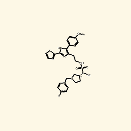 CCN([C@@H]1CCN(Cc2ccc(F)cc2)C1)S(=O)(=O)NCCc1nc(-c2cccs2)[nH]c1-c1ccc(OC)cc1